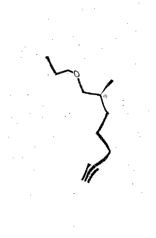 C#CCCC[C@H](C)COCC